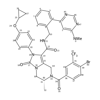 CNc1cc(-c2ccccc2CNC(=O)c2c3n(c(=O)n2-c2ccc(OC4CC4)cc2)C[C@@H](C)N(C(=O)c2ccc(Br)c(C(F)(F)F)c2)C3)ncn1